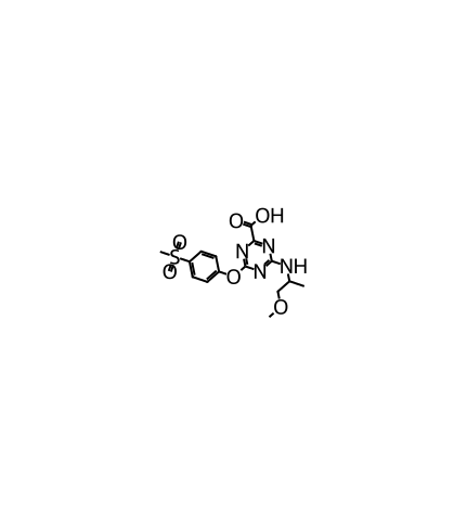 COCC(C)Nc1nc(Oc2ccc(S(C)(=O)=O)cc2)nc(C(=O)O)n1